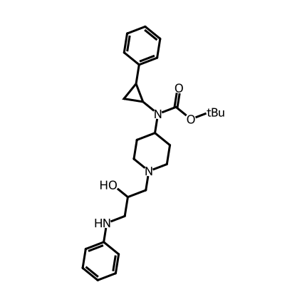 CC(C)(C)OC(=O)N(C1CCN(CC(O)CNc2ccccc2)CC1)C1CC1c1ccccc1